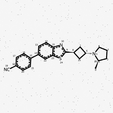 C[C@@H]1CCCN1[C@H]1C[C@H](c2nc3ccc(-c4ccc(C#N)cc4)cc3s2)C1